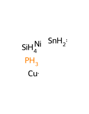 P.[Cu].[Ni].[SiH4].[SnH2]